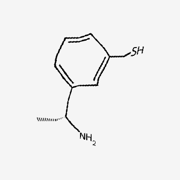 C[C@@H](N)c1cccc(S)c1